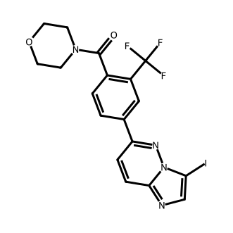 O=C(c1ccc(-c2ccc3ncc(I)n3n2)cc1C(F)(F)F)N1CCOCC1